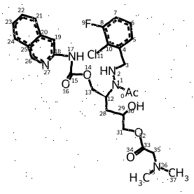 CC(=O)N(NCc1cccc(F)c1Cl)[C@H](COC(=O)Nc1cc2ccccc2cn1)CC(O)COC(=O)CN(C)C